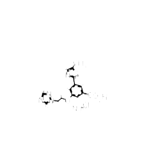 Cc1cnc(-c2cc(OCCn3cncn3)cc(C(=O)O)c2)s1.[Na][Cl]